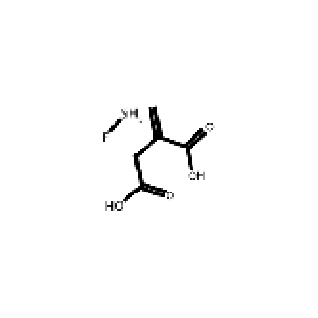 C=C(CC(=O)O)C(=O)O.F[SiH3]